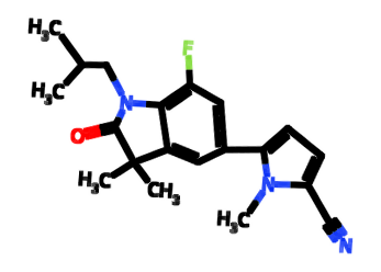 CC(C)CN1C(=O)C(C)(C)c2cc(-c3ccc(C#N)n3C)cc(F)c21